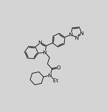 CCN(C(=O)CCn1c(-c2ccc(-n3ccnn3)cc2)nc2ccccc21)C1CCCCC1